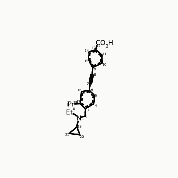 CCN(Cc1ccc(C#Cc2ccc(C(=O)O)cc2)cc1C(C)C)C1CC1